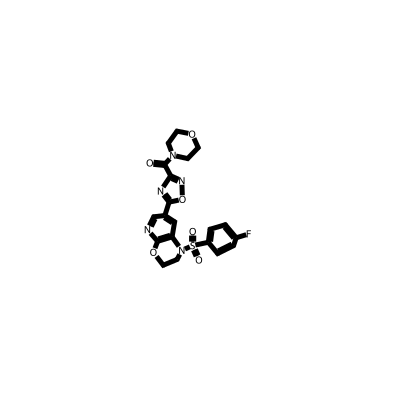 O=C(c1noc(-c2cnc3c(c2)N(S(=O)(=O)c2ccc(F)cc2)CCO3)n1)N1CCOCC1